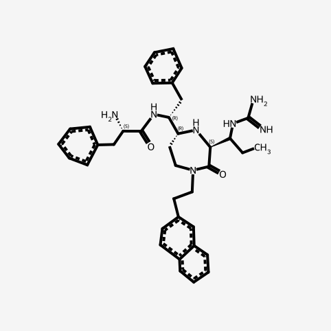 CCC(NC(=N)N)[C@@H]1N[C@@H]([C@@H](Cc2ccccc2)NC(=O)[C@@H](N)Cc2ccccc2)CCN(CCc2ccc3ccccc3c2)C1=O